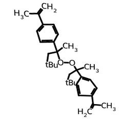 C=C(C)c1ccc(C(C)(CC(C)(C)C)OOC(C)(CC(C)(C)C)c2ccc(C(=C)C)cc2)cc1